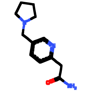 NC(=O)Cc1ccc(CN2CCCC2)cn1